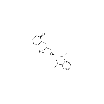 CC(C)c1ccccc1C(C)C.COCC(O)CC1CCCCC1=O